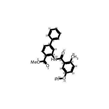 COC(=O)c1ccc(-c2ccccc2)cc1NC(=O)c1cc(OC(C)C)ccc1C